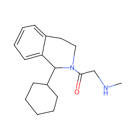 CNCC(=O)N1CCc2ccccc2C1C1CCCCC1